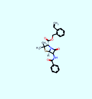 C=Cc1ccccc1COC(=O)[C@@H]1N2C(=O)C(NC(=O)c3ccccc3)[C@H]2SC1(C)C